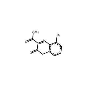 COC(=O)C1=Nc2c(cccc2C(C)C)CC1=O